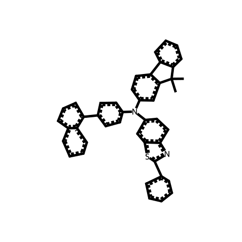 CC1(C)c2ccccc2-c2ccc(N(c3ccc(-c4cccc5ccccc45)cc3)c3ccc4nc(-c5ccccc5)sc4c3)cc21